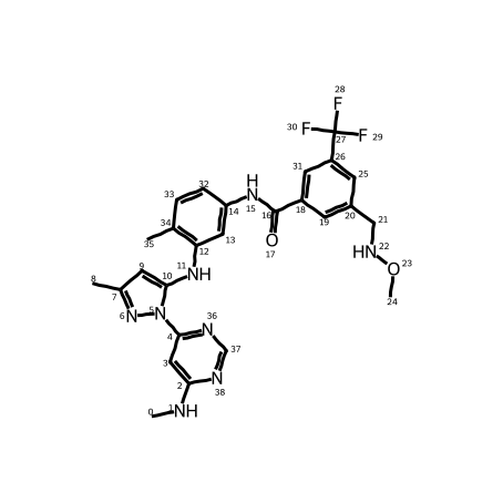 CNc1cc(-n2nc(C)cc2Nc2cc(NC(=O)c3cc(CNOC)cc(C(F)(F)F)c3)ccc2C)ncn1